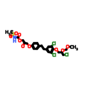 COCOC(CCl)COc1c(Cl)cc(CCc2ccc(OCC(=O)COC(=O)NS(C)(=O)=O)cc2)cc1Cl